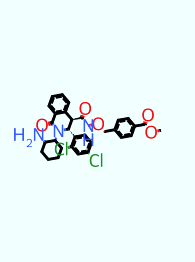 COC(=O)c1ccc(CONC(=O)[C@@H]2c3ccccc3C(=O)N([C@H]3CCCCC3N)[C@H]2c2ccc(Cl)cc2Cl)cc1